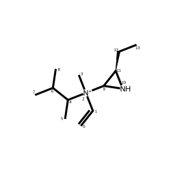 C=C[N+](C)(C(C)C(C)C)C1N[C@@H]1CC